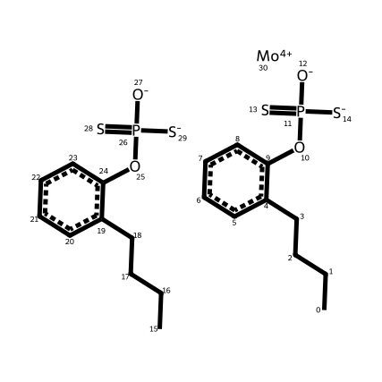 CCCCc1ccccc1OP([O-])(=S)[S-].CCCCc1ccccc1OP([O-])(=S)[S-].[Mo+4]